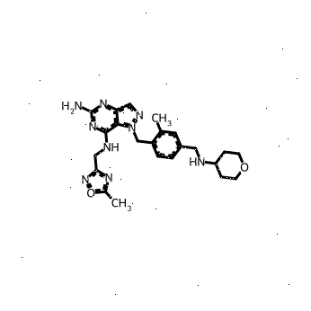 Cc1nc(CNc2nc(N)nc3cnn(Cc4ccc(CNC5CCOCC5)cc4C)c23)no1